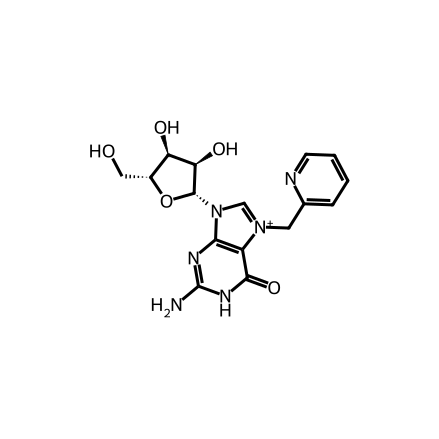 Nc1nc2c(c(=O)[nH]1)[n+](Cc1ccccn1)cn2[C@@H]1O[C@H](CO)[C@@H](O)[C@H]1O